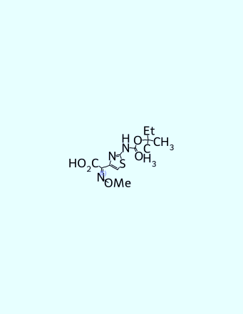 CCC(C)(C)OC(=O)Nc1nc(/C(=N\OC)C(=O)O)cs1